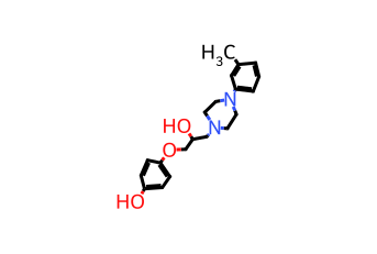 Cc1cccc(N2CCN(CC(O)COc3ccc(O)cc3)CC2)c1